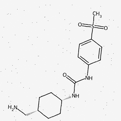 CS(=O)(=O)c1ccc(NC(=O)N[C@H]2CC[C@@H](CN)CC2)cc1